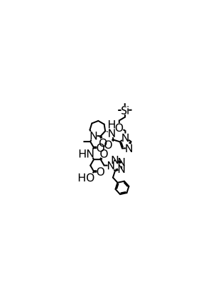 CC(C(=O)NC(CC(=O)O)C(=O)Cn1nnnc1Cc1ccccc1)N1CCCC[C@H](NC(=O)c2cncn2COCC[Si](C)(C)C)C1=O